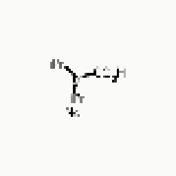 CC(C)N(C(=O)O)C(C)C.[Nd]